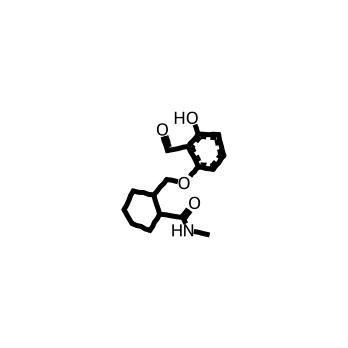 CNC(=O)C1CCCCC1COc1cccc(O)c1C=O